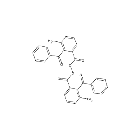 Cc1cccc(C(=O)OOC(=O)c2cccc(C)c2C(=O)c2ccccc2)c1C(=O)c1ccccc1